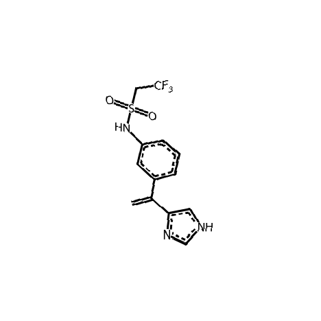 C=C(c1cccc(NS(=O)(=O)CC(F)(F)F)c1)c1c[nH]cn1